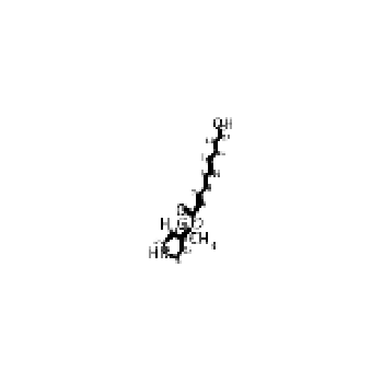 CC(C)(OC(=O)/C=C/CCCCCCCO)C1CCNCC1